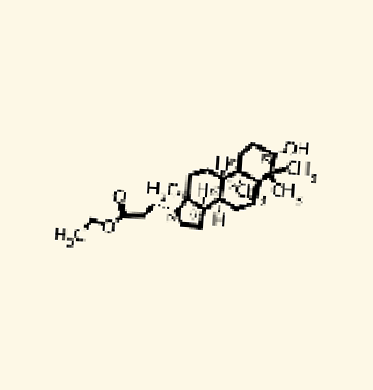 CCOC(=O)CC[C@H]1CC[C@H]2[C@@H]3CC=C4C(C)(C)[C@@H](O)CC[C@]4(C)[C@H]3CC[C@]12C